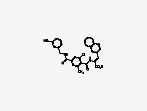 Cc1cc(C(=O)NCc2cccc(O)c2)cc(Cl)c1C(=O)NC(=Cc1cnc2ccccc2c1)C(=O)O